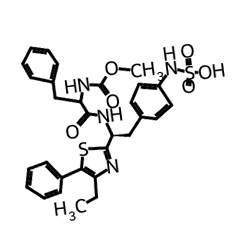 CCc1nc([C@H](Cc2ccc(NS(=O)(=O)O)cc2)NC(=O)C(Cc2ccccc2)NC(=O)OC)sc1-c1ccccc1